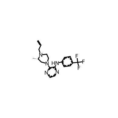 C=CCN1CCN(c2nccnc2Nc2ccc(C(F)(F)F)cc2)C[C@@H]1C